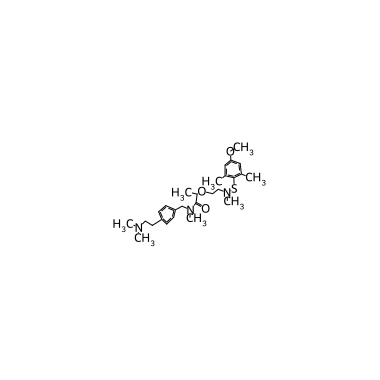 COc1cc(C)c(SN(C)CCOC(C)C(=O)N(C)Cc2ccc(CCN(C)C)cc2)c(C)c1